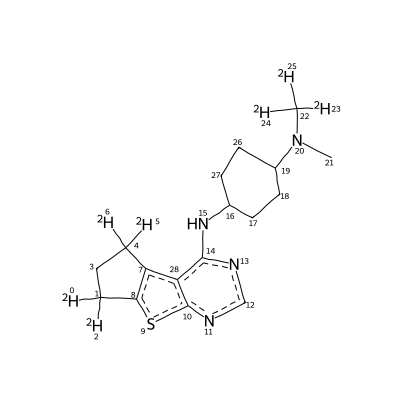 [2H]C1([2H])CC([2H])([2H])c2c1sc1ncnc(NC3CCC(N(C)C([2H])([2H])[2H])CC3)c21